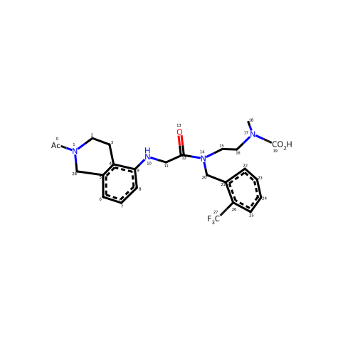 CC(=O)N1CCc2c(cccc2NCC(=O)N(CCN(C)C(=O)O)Cc2ccccc2C(F)(F)F)C1